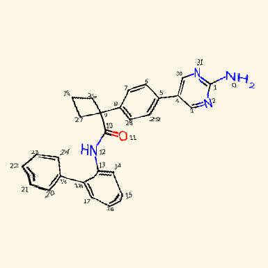 Nc1ncc(-c2ccc(C3(C(=O)Nc4ccccc4-c4ccccc4)CCC3)cc2)cn1